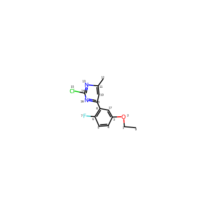 CCOc1ccc(F)c(-c2cc(C)nc(Cl)n2)c1